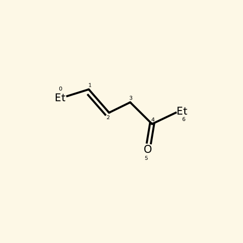 CCC=CCC(=O)CC